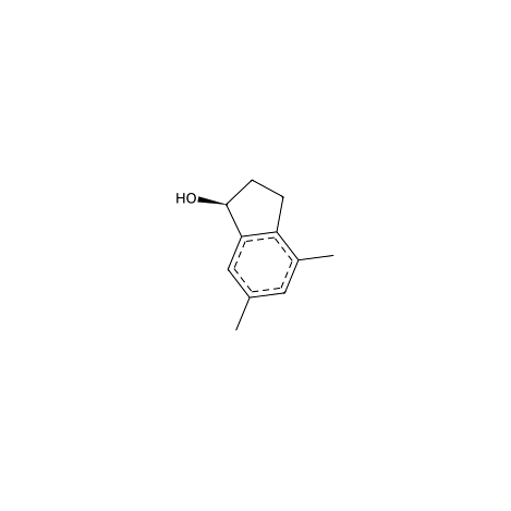 Cc1cc(C)c2c(c1)[C@@H](O)CC2